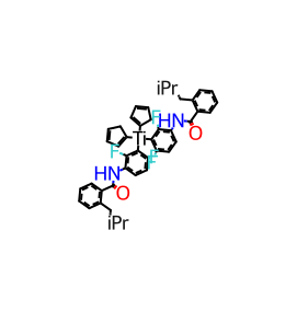 CC(C)Cc1ccccc1C(=O)Nc1ccc(F)[c]([Ti]([C]2=CC=CC2)([C]2=CC=CC2)[c]2c(F)ccc(NC(=O)c3ccccc3CC(C)C)c2F)c1F